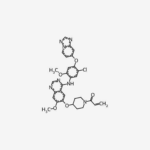 C=CC(=O)N1CCC(Oc2cc3c(Nc4cc(Cl)c(Oc5ccn6ncnc6c5)cc4OC)ncnc3cc2OC)CC1